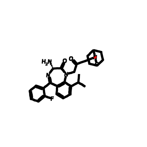 CC(C)c1cccc2c1N(CC(=O)N1CC3CCC(CC3)C1)C(=O)[C@@H](N)N=C2c1ccccc1F